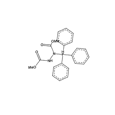 COC(=O)NN(C(=O)OC)[PH](c1ccccc1)(c1ccccc1)c1ccccc1